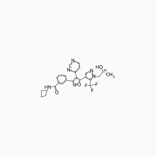 C[C@@H](O)Cn1ncc(-c2onc(-c3cccc(C(=O)NC4CCC4)c3)c2-c2ccncn2)c1C(F)(F)F